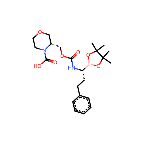 CC1(C)OB([C@H](CCc2ccccc2)NC(=O)OC[C@H]2COCCN2C(=O)O)OC1(C)C